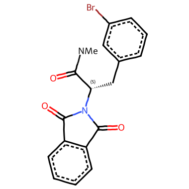 CNC(=O)[C@H](Cc1cccc(Br)c1)N1C(=O)c2ccccc2C1=O